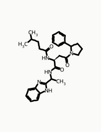 CC(C)CCC(=O)N[C@@H](CC(=O)N1CCCC1c1ccccc1)C(=O)NC(C)c1nc2ccccc2[nH]1